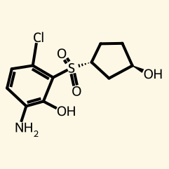 Nc1ccc(Cl)c(S(=O)(=O)[C@@H]2CC[C@@H](O)C2)c1O